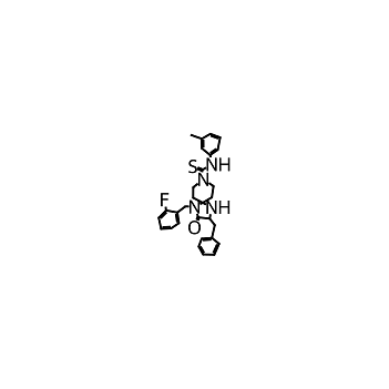 Cc1cccc(NC(=S)N2CCC3(CC2)NC(Cc2ccccc2)C(=O)N3Cc2ccccc2F)c1